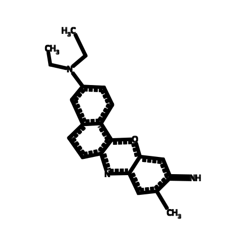 CCN(CC)c1ccc2c(ccc3nc4cc(C)c(=N)cc-4oc32)c1